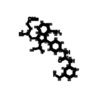 CCN(CCOC)Cc1c(C(F)F)c(-c2ccc(NC(=O)Nc3cc(CF)ccn3)cc2)c2c(N)ncnn12